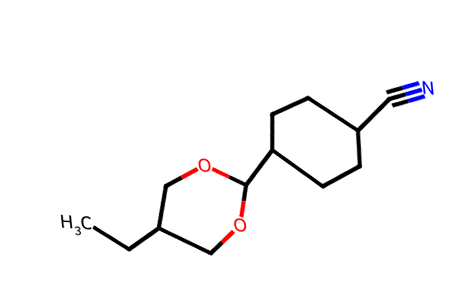 CCC1COC(C2CCC(C#N)CC2)OC1